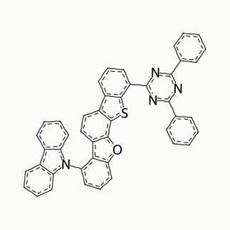 c1ccc(-c2nc(-c3ccccc3)nc(-c3cccc4c3sc3c4ccc4c3oc3cccc(-n5c6ccccc6c6ccccc65)c34)n2)cc1